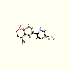 CCC1CCOc2ccc(-c3ccc(C)cn3)cc21